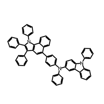 c1ccc(-c2c(-c3ccccc3)n(-c3ccccc3)c3c2cc(-c2ccc(N(c4ccccc4)c4ccc5c(c4)c4ccccc4n5-c4ccccc4)cc2)c2ccccc23)cc1